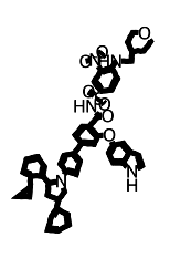 O=C(NS(=O)(=O)c1ccc(NCC2CCOCC2)c([N+](=O)[O-])c1)c1ccc(-c2ccc(N3CC(c4ccccc4)CC3c3ccccc3C3CC3)cc2)cc1Oc1ccc2[nH]ccc2c1